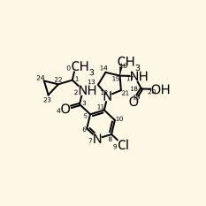 CC(NC(=O)c1cnc(Cl)cc1N1CC[C@](C)(NC(=O)O)C1)C1CC1